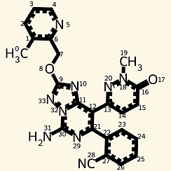 Cc1cccnc1COc1nc2c(-c3ccc(=O)n(C)n3)c(-c3ccccc3C#N)nc(N)n2n1